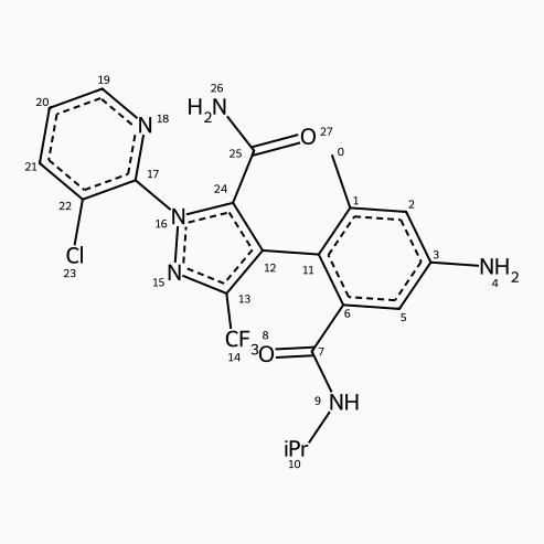 Cc1cc(N)cc(C(=O)NC(C)C)c1-c1c(C(F)(F)F)nn(-c2ncccc2Cl)c1C(N)=O